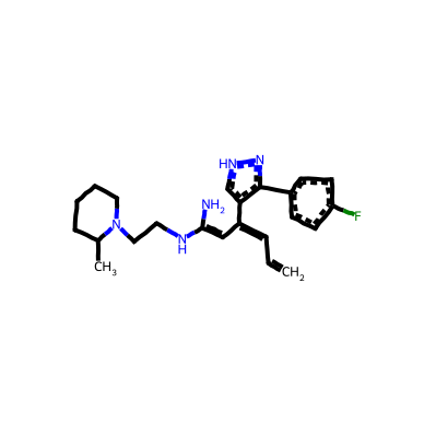 C=C/C=C(\C=C(/N)NCCN1CCCCC1C)c1c[nH]nc1-c1ccc(F)cc1